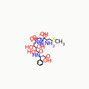 CSCC[C@H](N)C(=O)N[C@@H](CO)C(=O)N[C@@H](CO)[C@@H](O)[C@@H](O)[C@H](O)C(=O)N[C@@H](CC(=O)O)c1ccccc1